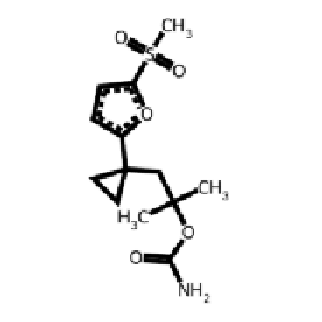 CC(C)(CC1(c2ccc(S(C)(=O)=O)o2)CC1)OC(N)=O